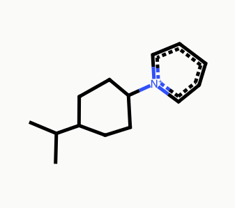 CC(C)C1CCC([n+]2ccccc2)CC1